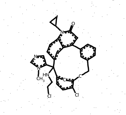 Cn1cncc1C1(NCCCl)c2ccc(Cl)c(c2)CCc2cccc(c2)-c2cc(=O)n(C3CC3)c3ccc1cc23